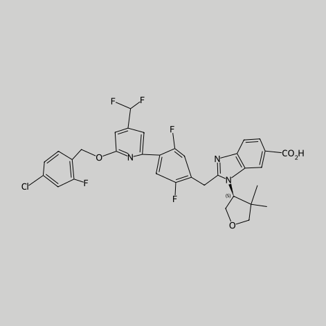 CC1(C)COC[C@H]1n1c(Cc2cc(F)c(-c3cc(C(F)F)cc(OCc4ccc(Cl)cc4F)n3)cc2F)nc2ccc(C(=O)O)cc21